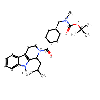 CC(C)CC1c2c(c3ccccc3n2C)CCN1C(=O)[C@H]1CC[C@H](CN(C)C(=O)OC(C)(C)C)CC1